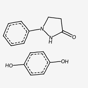 O=C1CCN(c2ccccc2)N1.Oc1ccc(O)cc1